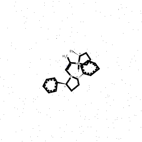 CC[C@@H]1CCC[PH]1(I)/C(C)=C\P1[C@H](c2ccccc2)CC[C@H]1c1ccccc1